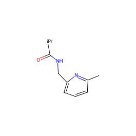 Cc1cccc(CNC(=O)C(C)C)n1